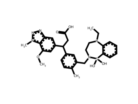 CCN1CCN(Cc2cc(C(CC(=O)O)c3cc(OC)c4c(c3)nnn4C)ccc2C)S(O)(O)c2ccccc21